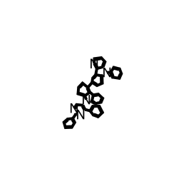 c1ccc(-c2ncc(-n3c4ccccc4c4c(-c5ccc6c(c5)c5ncccc5n6-c5ccccc5)cccc43)c(-c3ccccc3)n2)cc1